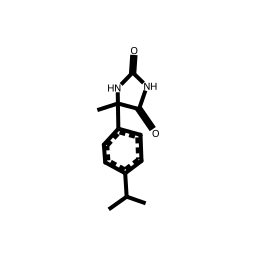 CC(C)c1ccc(C2(C)NC(=O)NC2=O)cc1